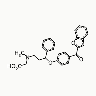 CN(CCC(Oc1ccc(C(=O)c2cc3ccccc3o2)cc1)c1ccccc1)CC(=O)O